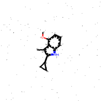 COc1c[c]cc2[nH]c(C3CC3)c(C)c12